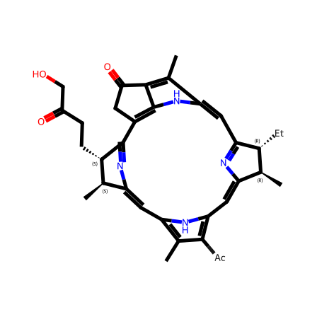 CC[C@H]1c2cc3[nH]c4c(c5nc(cc6[nH]c(cc(n2)[C@@H]1C)c(C(C)=O)c6C)[C@@H](C)[C@@H]5CCC(=O)CO)CC(=O)c4c3C